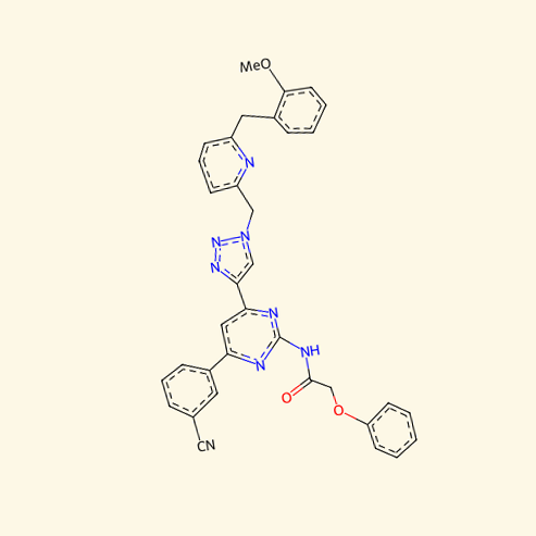 COc1ccccc1Cc1cccc(Cn2cc(-c3cc(-c4cccc(C#N)c4)nc(NC(=O)COc4ccccc4)n3)nn2)n1